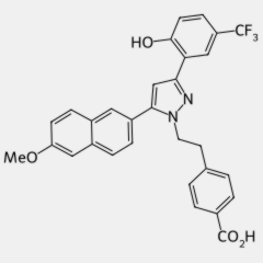 COc1ccc2cc(-c3cc(-c4cc(C(F)(F)F)ccc4O)nn3CCc3ccc(C(=O)O)cc3)ccc2c1